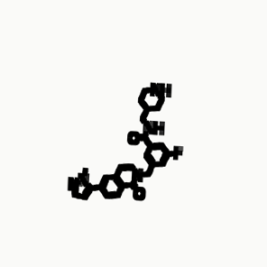 Cn1nccc1-c1ccc2c(=O)n(Cc3cc(F)cc(C(=O)NCC4CCNCC4)c3)ccc2c1